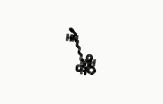 C#CCNCCCCCCN1C(=O)[C@@H]2C3CCC(C3)[C@@H]2C1=O